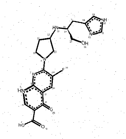 O=C(O)c1c[nH]c2nc(N3CCC(N[C@H](CO)Cc4c[nH]cn4)C3)c(F)cc2c1=O